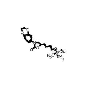 CC(C)(C)[Si](C)(C)OCCCCC1CN(c2ccc3c(c2)OCCO3)C(=O)O1